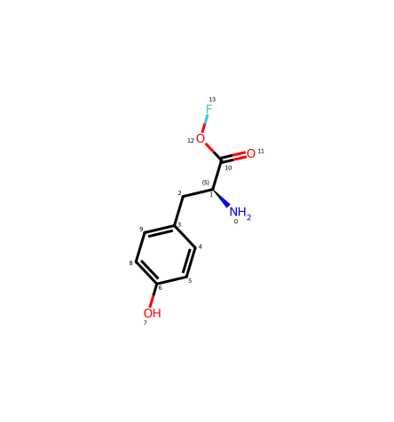 N[C@@H](Cc1ccc(O)cc1)C(=O)OF